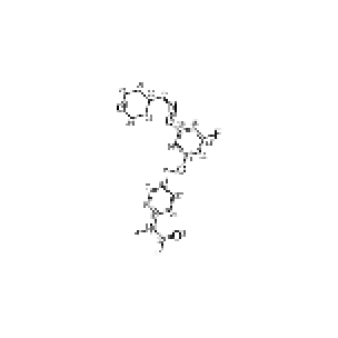 CC(=O)N(C)c1ccc(COc2cc(F)cc(O/N=C\C3CCOCC3)c2)cc1